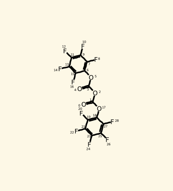 O=C(OC(=O)Oc1c(F)c(F)c(F)c(F)c1F)Oc1c(F)c(F)c(F)c(F)c1F